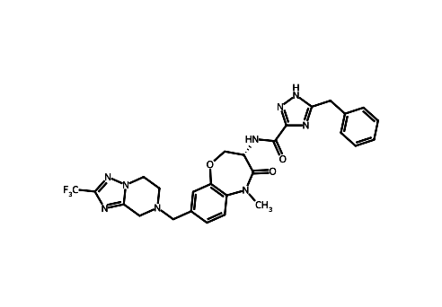 CN1C(=O)[C@@H](NC(=O)c2n[nH]c(Cc3ccccc3)n2)COc2cc(CN3CCn4nc(C(F)(F)F)nc4C3)ccc21